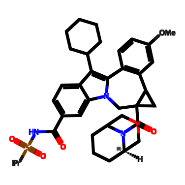 COc1ccc2c(c1)C1CC1(C(=O)N1C3CCC[C@@H]1COC3)Cn1c-2c(C2CCCCC2)c2ccc(C(=O)NS(=O)(=O)C(C)C)cc21